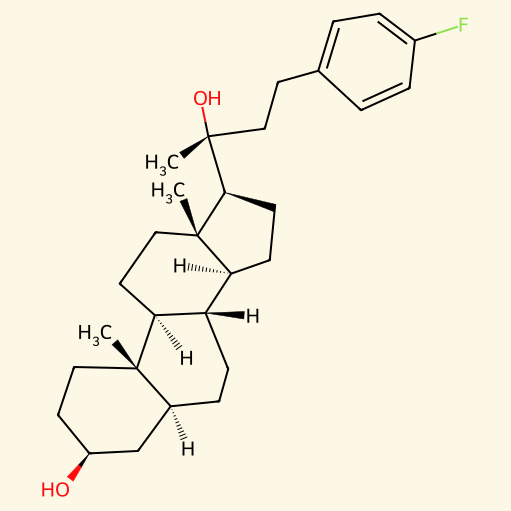 C[C@]12CC[C@H](O)C[C@@H]1CC[C@@H]1[C@@H]2CC[C@@]2(C)[C@H]1CC[C@@H]2[C@](C)(O)CCc1ccc(F)cc1